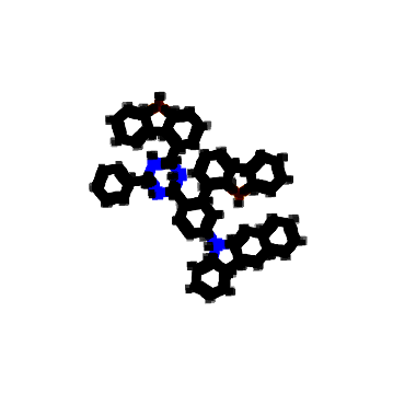 c1ccc(-c2nc(-c3ccc(-n4c5ccccc5c5cc6ccccc6cc54)cc3-c3cccc4c3sc3ccccc34)nc(-c3cccc4sc5ccccc5c34)n2)cc1